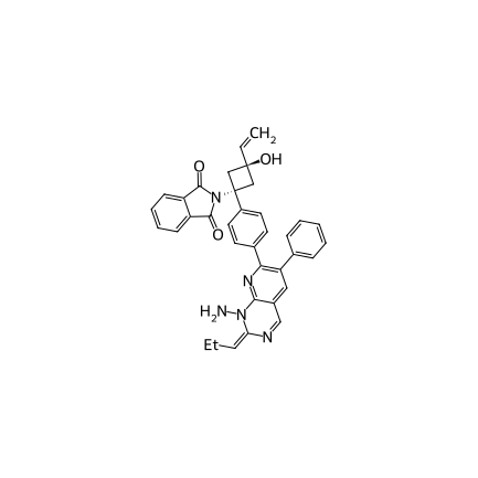 C=C[C@]1(O)C[C@](c2ccc(-c3nc4c(cc3-c3ccccc3)C=N/C(=C/CC)N4N)cc2)(N2C(=O)c3ccccc3C2=O)C1